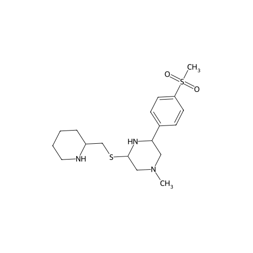 CN1CC(SCC2CCCCN2)NC(c2ccc(S(C)(=O)=O)cc2)C1